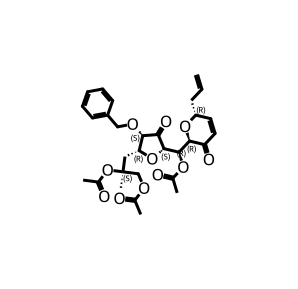 C=CC[C@@H]1C=CC(=O)[C@@H]([C@@H](OC(C)=O)[C@@H]2O[C@H](C[C@@](C)(COC(C)=O)OC(C)=O)[C@H](OCc3ccccc3)C2=O)O1